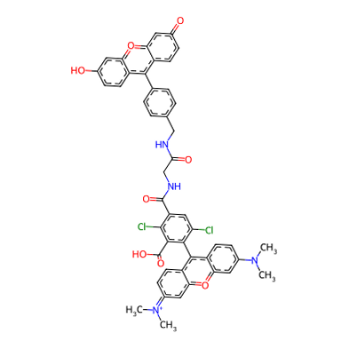 CN(C)c1ccc2c(-c3c(Cl)cc(C(=O)NCC(=O)NCc4ccc(-c5c6ccc(=O)cc-6oc6cc(O)ccc56)cc4)c(Cl)c3C(=O)O)c3ccc(=[N+](C)C)cc-3oc2c1